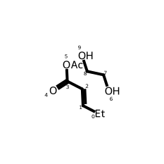 CCC=CC(=O)OC(C)=O.OCCO